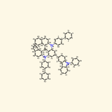 c1ccc(-c2ccc(N3c4cc(-c5ccc6c(c5)c5ccccc5n6-c5ccccc5)cc5c4B(c4c3ccc3ccccc43)c3c(ccc4ccccc34)N5c3ccc(-c4ccccc4)cc3)cc2)cc1